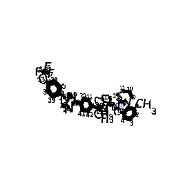 Cc1cccc(C)c1N1CCCS/C1=N\C(=O)NC(C)(C)c1ccc(-c2ncn(-c3ccc(OC(F)(F)F)cc3)n2)cc1